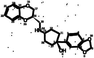 O[C@]1(c2ccc3c(c2)OCO3)CC[C@H](NC[C@H]2COc3ccccc3O2)CC1